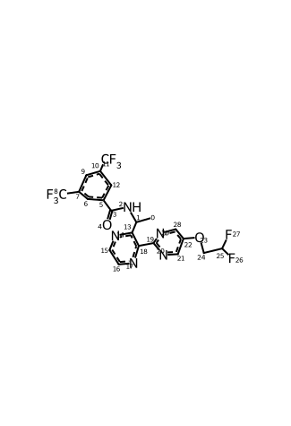 CC(NC(=O)c1cc(C(F)(F)F)cc(C(F)(F)F)c1)c1nccnc1-c1ncc(OCC(F)F)cn1